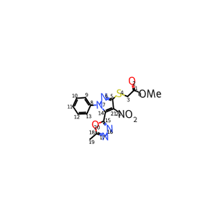 COC(=O)CSc1nn(-c2ccccc2)c(-c2nnc(C)o2)c1[N+](=O)[O-]